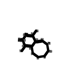 CC1=NNC(C)=C2CCCCC/C=C/12